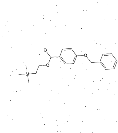 C[Si](C)(C)CCOC([O])c1ccc(OCc2ccccc2)cc1